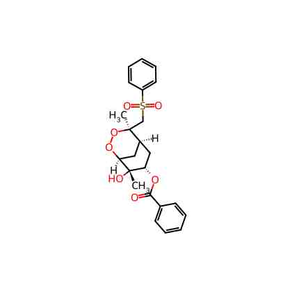 C[C@@]1(O)[C@@H]2C[C@H](C[C@@H]1OC(=O)c1ccccc1)[C@](C)(CS(=O)(=O)c1ccccc1)OO2